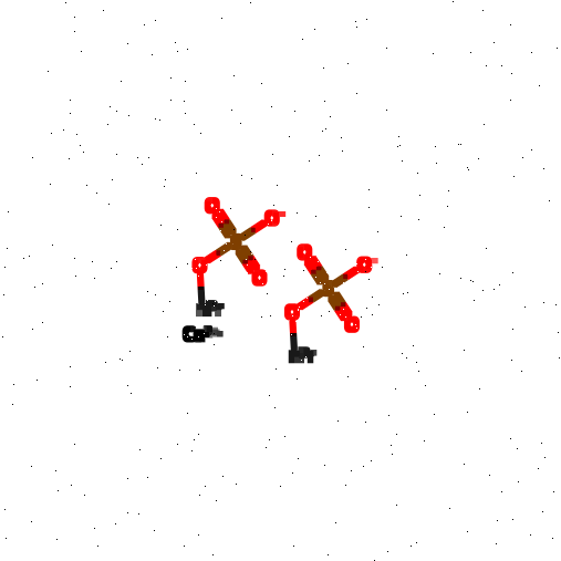 CCCOS(=O)(=O)[O-].CCCOS(=O)(=O)[O-].[Cu+2]